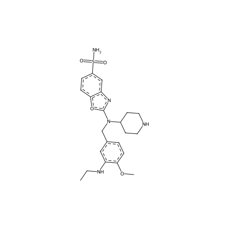 CCNc1cc(CN(c2nc3cc(S(N)(=O)=O)ccc3o2)C2CCNCC2)ccc1OC